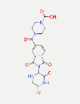 O=C1CNC(N2C(=O)c3ccc(C(=O)N4CCN(C(=O)O)CC4)cc3C2=O)C(=O)N1